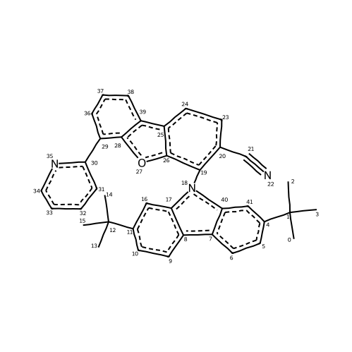 CC(C)(C)c1ccc2c3ccc(C(C)(C)C)cc3n(-c3c(C#N)ccc4c3oc3c(-c5ccccn5)cccc34)c2c1